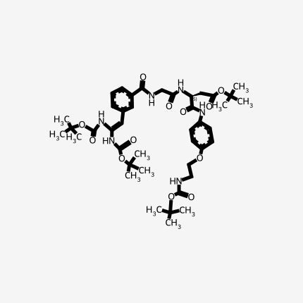 CC(C)(C)OC(=O)C[C@H](NC(=O)CNC(=O)c1cccc(C=C(NC(=O)OC(C)(C)C)NC(=O)OC(C)(C)C)c1)C(=O)Nc1ccc(OCCNC(=O)OC(C)(C)C)cc1